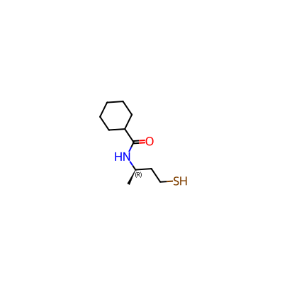 C[C@H](CCS)NC(=O)C1CCCCC1